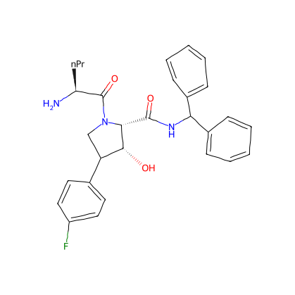 CCC[C@H](N)C(=O)N1CC(c2ccc(F)cc2)[C@@H](O)[C@H]1C(=O)NC(c1ccccc1)c1ccccc1